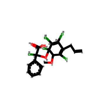 C=CCC1=C(Cl)C(OC)C(Cl)(OC(Cl)(C(=O)O)c2ccccc2)C(Cl)=C1Cl